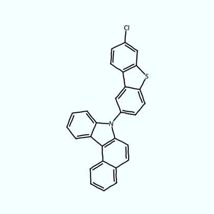 Clc1ccc2c(c1)sc1ccc(-n3c4ccccc4c4c5ccccc5ccc43)cc12